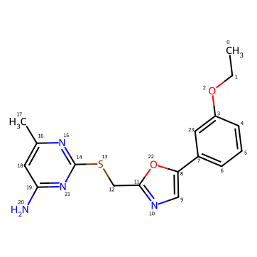 CCOc1cccc(-c2cnc(CSc3nc(C)cc(N)n3)o2)c1